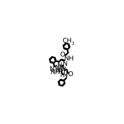 Cc1ccc(CC(=O)Nc2cc(-c3ccccc3/C(=N/N)NN)nc(N3CCN(Cc4ccccc4)C(=O)C3)n2)cc1